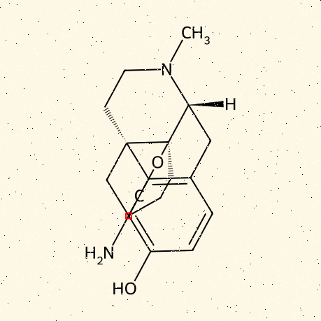 CN1CC[C@]23CC4(N)CC[C@@]2(OC4)[C@H]1Cc1ccc(O)cc13